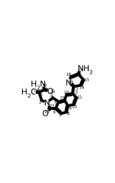 C=C(CN1Cc2c(ccc3ccc(-c4ccc(N)cn4)cc23)C1=O)C(N)=O